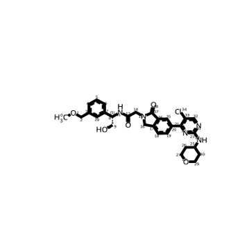 COCc1cccc([C@@H](CO)NC(=O)CN2Cc3ccc(-c4nc(NC5CCOCC5)ncc4Cl)cc3C2=O)c1